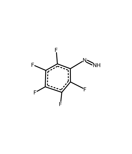 N=Nc1c(F)c(F)c(F)c(F)c1F